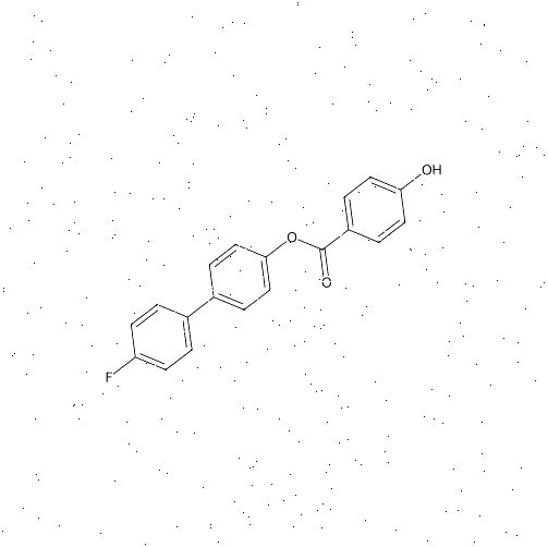 O=C(Oc1ccc(-c2ccc(F)cc2)cc1)c1ccc(O)cc1